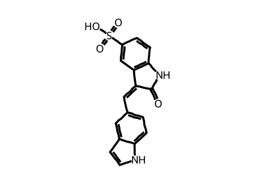 O=C1Nc2ccc(S(=O)(=O)O)cc2C1=Cc1ccc2[nH]ccc2c1